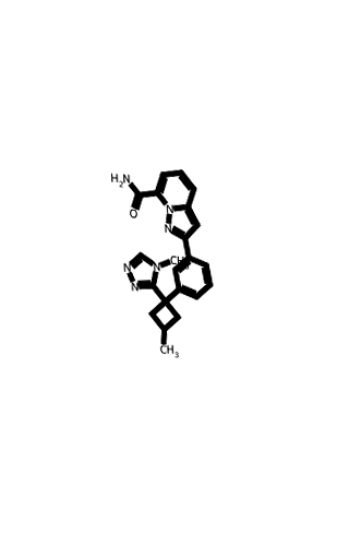 CC1CC(c2cccc(-c3cc4cccc(C(N)=O)n4n3)c2)(c2nncn2C)C1